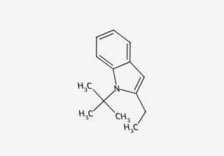 CCc1cc2ccccc2n1C(C)(C)C